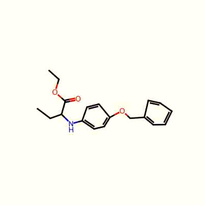 CCOC(=O)C(CC)Nc1ccc(OCc2ccccc2)cc1